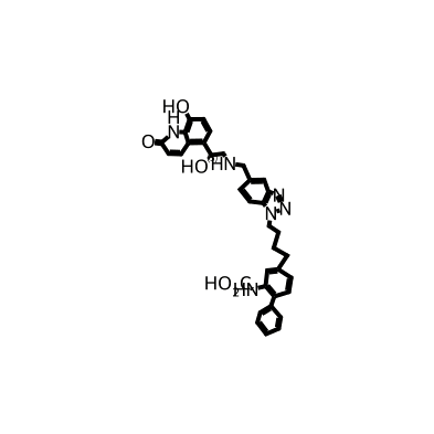 O=C(O)Nc1cc(CCCCn2nnc3cc(CNC[C@@H](O)c4ccc(O)c5[nH]c(=O)ccc45)ccc32)ccc1-c1ccccc1